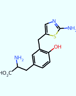 Nc1ncc(Cc2cc(CC(N)C(=O)O)ccc2O)s1